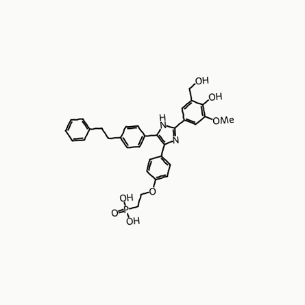 COc1cc(-c2nc(-c3ccc(OCCP(=O)(O)O)cc3)c(-c3ccc(CCc4ccccc4)cc3)[nH]2)cc(CO)c1O